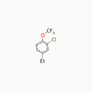 [CH2]Cc1ccc(OC(F)(F)F)c(Cl)c1